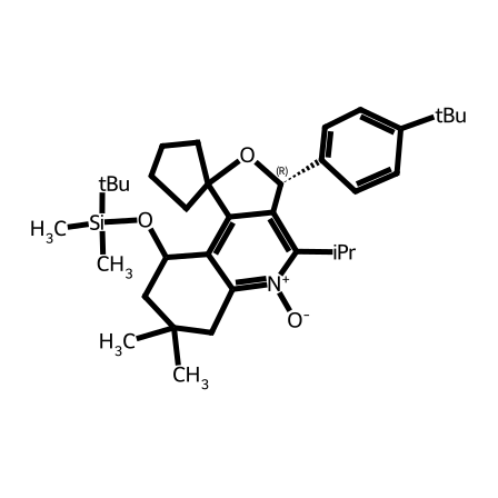 CC(C)c1c2c(c3c([n+]1[O-])CC(C)(C)CC3O[Si](C)(C)C(C)(C)C)C1(CCCC1)O[C@@H]2c1ccc(C(C)(C)C)cc1